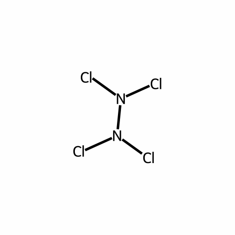 ClN(Cl)N(Cl)Cl